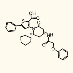 O=C(COc1ccccc1)N[C@H]1CC(=O)N(c2cc(-c3ccccc3)sc2C(=O)O)[C@@H](C2CCCCC2)C1